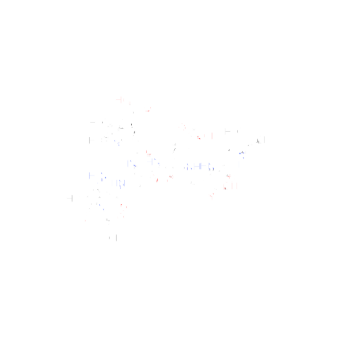 CCC(=O)N(C(C)=O)[C@@H](CN)C(=O)NC[C@H](NC(=O)[C@H](CCC(=O)O)NC(C)(C)C)C(=O)N[C@@H](CCC(=O)O)C(=O)NC[C@H](NC(=O)CNC(C)C)C(=O)O